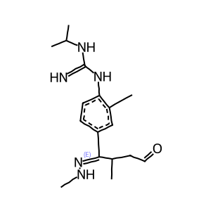 CN/N=C(/c1ccc(NC(=N)NC(C)C)c(C)c1)C(C)CC=O